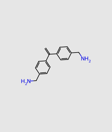 C=C(c1ccc(CN)cc1)c1ccc(CN)cc1